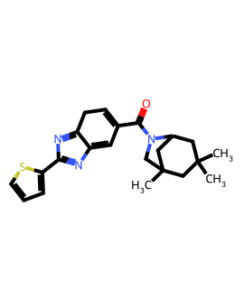 CC1(C)CC2CC(C)(CN2C(=O)C2=CCC3=NC(c4cccs4)=NC3=C2)C1